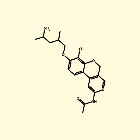 CC(=O)Nc1cc2c(cn1)COc1c-2ccc(OCC(C)CC(C)N)c1Cl